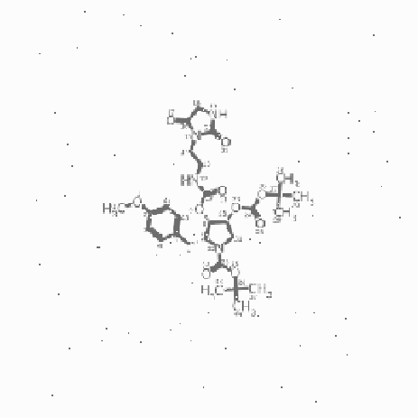 COc1ccc(C[C@@H]2[C@H](OC(=O)NCCN3C(=O)CNC3=O)[C@@H](OC(=O)OC(C)(C)C)CN2C(=O)OC(C)(C)C)cc1